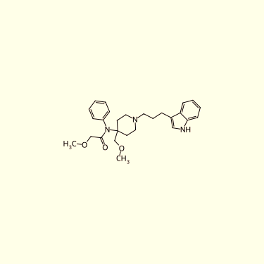 COCC(=O)N(c1ccccc1)C1(COC)CCN(CCCc2c[nH]c3ccccc23)CC1